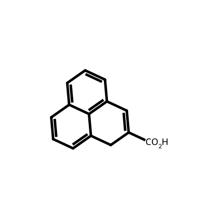 O=C(O)C1=Cc2cccc3cccc(c23)C1